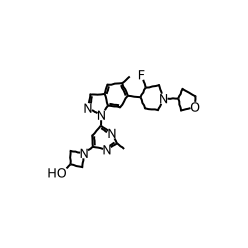 Cc1nc(N2CC(O)C2)cc(-n2ncc3cc(C)c(C4CCN(C5CCOC5)CC4F)cc32)n1